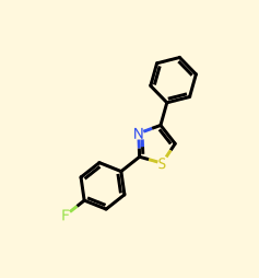 Fc1ccc(-c2nc(-c3ccccc3)cs2)cc1